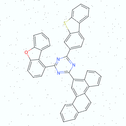 c1ccc2c(c1)ccc1c3ccccc3c(-c3nc(-c4ccc5c(c4)sc4ccccc45)nc(-c4cccc5oc6ccccc6c45)n3)cc21